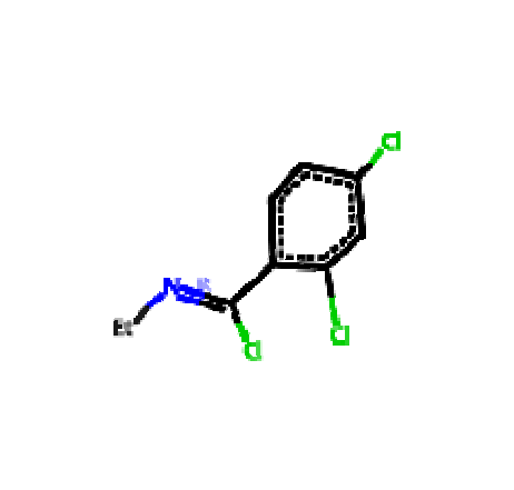 CC/N=C(\Cl)c1ccc(Cl)cc1Cl